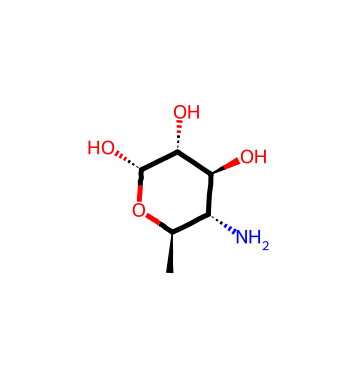 C[C@H]1O[C@H](O)[C@H](O)[C@@H](O)[C@@H]1N